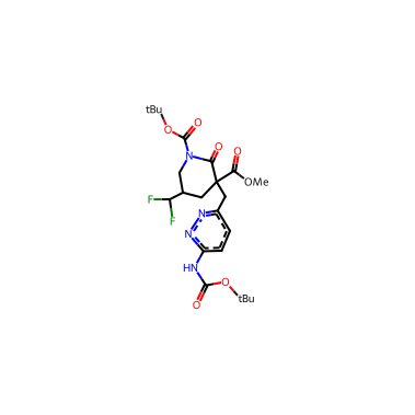 COC(=O)C1(Cc2ccc(NC(=O)OC(C)(C)C)nn2)CC(C(F)F)CN(C(=O)OC(C)(C)C)C1=O